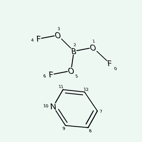 FOB(OF)OF.c1ccncc1